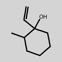 C=CC1(O)CCCCC1C